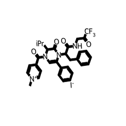 CC(C)C1C(=O)N(C(Cc2ccccc2)C(=O)NCC(=O)C(F)(F)F)C(c2ccccc2)=CN1C(=O)c1cc[n+](C)cc1.[I-]